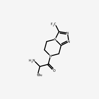 CC(C)(C)C(N)C(=O)N1CCn2c(nnc2C(F)(F)F)C1